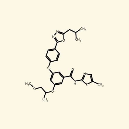 COCC(C)Oc1cc(Oc2ccc(-c3nnc(CC(C)C)o3)cc2)cc(C(=O)Nc2ncc(C)s2)c1